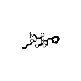 CCCCOC[C@H](CN(C)C)C(=O)N1C(=O)OC[C@@H]1Cc1ccccc1